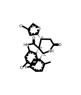 Cc1ccc(F)cc1[C@H]1NC(=O)C[C@@H](c2cc(Cl)cs2)[C@]12C(=O)Nc1cc(Cl)ccc12